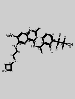 COc1cc2nc(C)nc(NC(C)c3cccc(C(F)(F)C(C)(C)O)c3F)c2cc1OCCOC1COC1